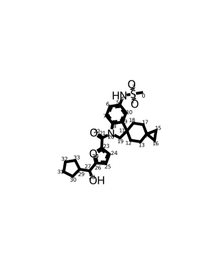 CS(=O)(=O)Nc1ccc2c(c1)C1(CCC3(CC3)CC1)CN2C(=O)c1ccc(C(O)C2CCCC2)o1